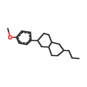 CCCC1CCC2CC(c3ccc(OC)cc3)CCC2C1